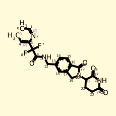 C/C=N\C(=C/C)C(F)(F)C(=O)NCc1ccc2c(c1)CN(C1CCC(=O)NC1=O)C2=O